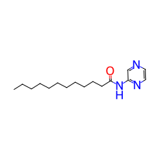 CCCCCCCCCCCC(=O)Nc1cnccn1